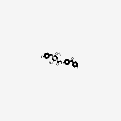 C[C@@H]1CN(C(=O)COc2ccc(C(=O)c3ccc(F)cc3)cc2)[C@@H](C)CN1Cc1ccc(F)cc1